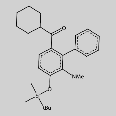 CNc1c(O[Si](C)(C)C(C)(C)C)ccc(C(=O)C2CCCCC2)c1-c1ccccc1